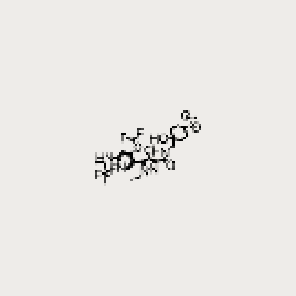 CCn1nc(C(=O)NCC2(O)CCC(S(C)(=O)=O)CC2)c(Cl)c1-c1cnc(NC(C)C(F)(F)F)cc1OC(F)F